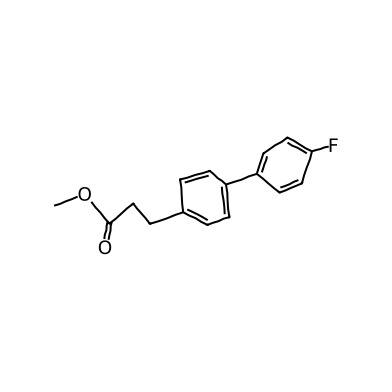 COC(=O)CCc1ccc(-c2ccc(F)cc2)cc1